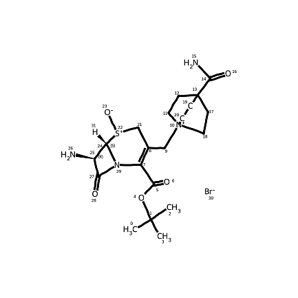 CC(C)(C)OC(=O)C1=C(C[N+]23CCC(C(N)=O)(CC2)CC3)C[S+]([O-])[C@H]2[C@H](N)C(=O)N12.[Br-]